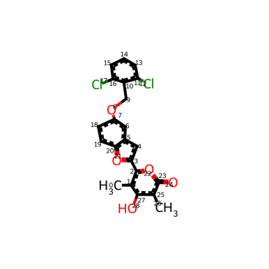 Cc1c(-c2cc3cc(OCc4c(Cl)cccc4Cl)ccc3o2)oc(=O)c(C)c1O